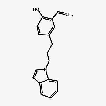 C=Cc1cc(CCCn2ccc3ccccc32)ccc1O